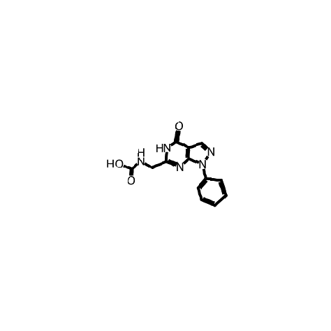 O=C(O)NCc1nc2c(cnn2-c2ccccc2)c(=O)[nH]1